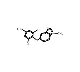 Cn1cnc2cc(Oc3c(F)cc([N+](=O)[O-])cc3Cl)ccc21